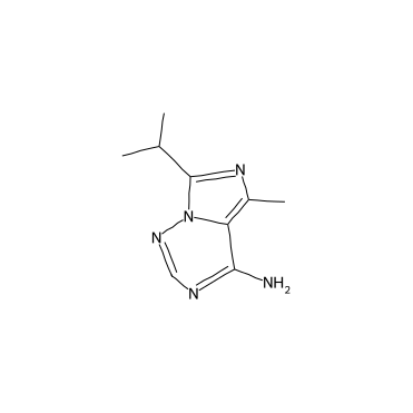 Cc1nc(C(C)C)n2ncnc(N)c12